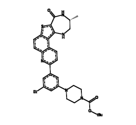 CCc1cc(-c2ccc3c(ccc4sc5c(c43)NC[C@@H](C)NC5=O)n2)cc(N2CCN(C(=O)OC(C)(C)C)CC2)c1